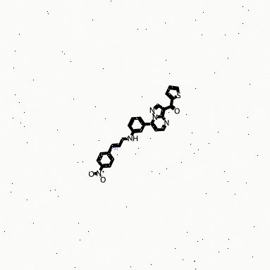 O=C(c1cccs1)c1cnn2c(-c3cccc(NC/C=C/c4ccc([N+](=O)[O-])cc4)c3)ccnc12